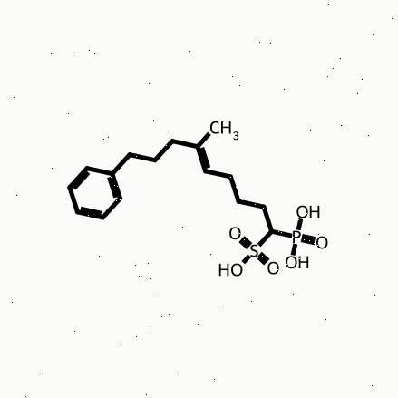 CC(=CCCCC(P(=O)(O)O)S(=O)(=O)O)CCCc1ccccc1